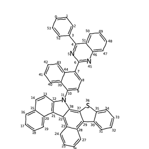 c1ccc(-c2nc(-c3ccc(-n4c5ccc6ccccc6c5c5c6ccccc6c6c7ccccc7sc6c54)c4ccccc34)nc3ccccc23)cc1